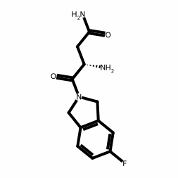 NC(=O)C[C@H](N)C(=O)N1Cc2ccc(F)cc2C1